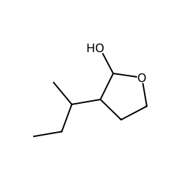 CCC(C)C1CCOC1O